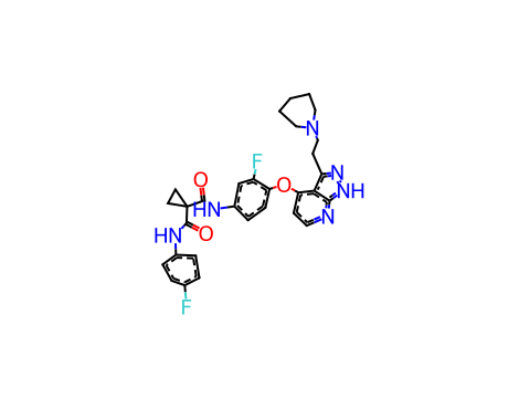 O=C(Nc1ccc(F)cc1)C1(C(=O)Nc2ccc(Oc3ccnc4[nH]nc(CCN5CCCCC5)c34)c(F)c2)CC1